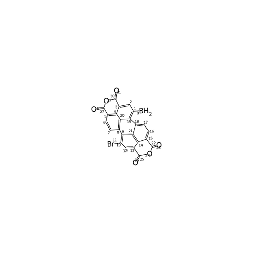 Bc1cc2c3c(ccc4c5c(Br)cc6c7c(ccc(c1c34)c75)C(=O)OC6=O)C(=O)OC2=O